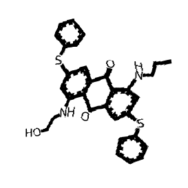 CCCNc1cc(Sc2ccccc2)cc2c1C(=O)c1cc(Sc3ccccc3)cc(NCCO)c1C2=O